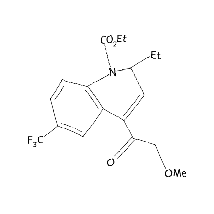 CCOC(=O)N1c2ccc(C(F)(F)F)cc2C(C(=O)COC)=CC1CC